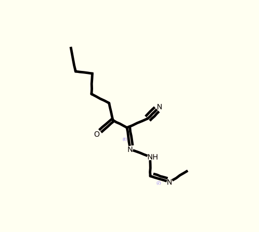 CCCCCC(=O)/C(C#N)=N/N/C=N\C